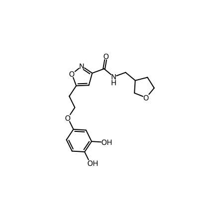 O=C(NCC1CCOC1)c1cc(CCOc2ccc(O)c(O)c2)on1